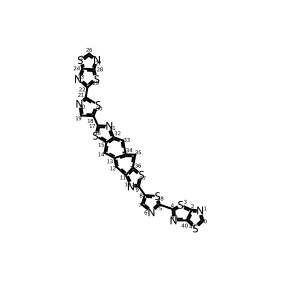 c1nc2sc(-c3ncc(-c4nc5cc6cc7sc(-c8cnc(-c9nc%10scnc%10s9)s8)nc7cc6cc5s4)s3)nc2s1